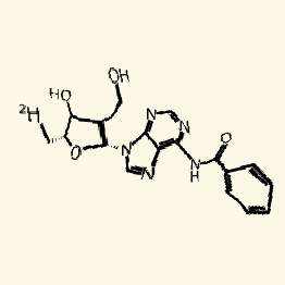 [2H]C[C@H]1O[C@@H](n2cnc3c(NC(=O)c4ccccc4)ncnc32)[C@H](CO)C1O